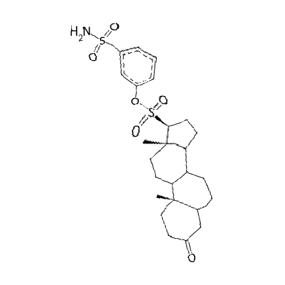 C[C@]12CCC(=O)CC1CCC1C2CC[C@@]2(C)C1CC[C@@H]2S(=O)(=O)Oc1cccc(S(N)(=O)=O)c1